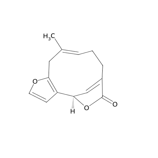 C/C1=C\CCC2=C[C@@H](OC2=O)c2ccoc2C1